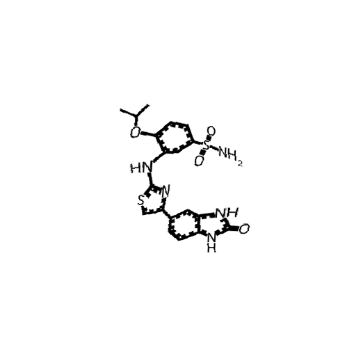 CC(C)Oc1ccc(S(N)(=O)=O)cc1Nc1nc(-c2ccc3[nH]c(=O)[nH]c3c2)cs1